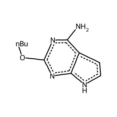 CCCCOc1nc(N)c2cc[nH]c2n1